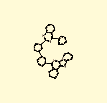 c1ccc(-c2nc(-c3cccc(-c4cccc(-c5nc6c(nc7ccccn76)c6ccccc56)c4)c3)nc3ccccc23)cc1